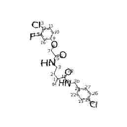 C=C(CCNC(=O)COc1ccc(Cl)c(F)c1)C(=O)NCc1ccc(Cl)cc1